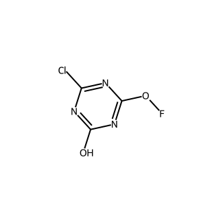 Oc1nc(Cl)nc(OF)n1